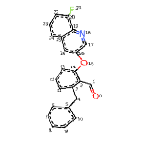 O=Cc1c(Cc2ccccc2)cccc1Oc1cnc2c(F)cccc2c1